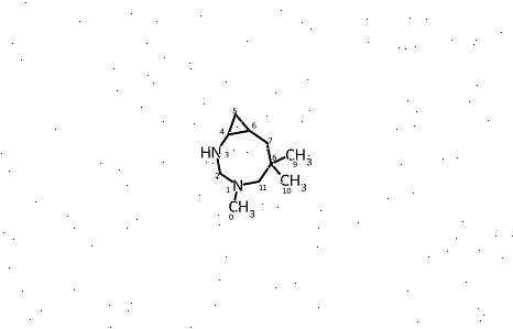 CN1CNC2CC2CC(C)(C)C1